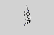 C/C=C/Oc1ccc(-c2ccc(/C=C/CCC)c(F)c2F)c(F)c1F